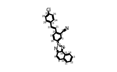 N#Cc1cc(-n2nc3ccc4ccccc4c3n2)ccc1C=Cc1ccc(Cl)cc1